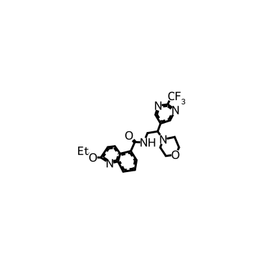 CCOc1ccc2c(C(=O)NCC(c3cnc(C(F)(F)F)nc3)N3CCOCC3)cccc2n1